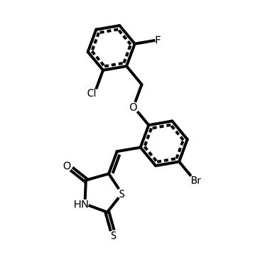 O=C1NC(=S)S/C1=C\c1cc(Br)ccc1OCc1c(F)cccc1Cl